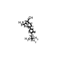 C#Cc1nc(C(F)(P)P)n2cc(-c3cnc(OCC(C)(C)P)c(F)c3)ccc12